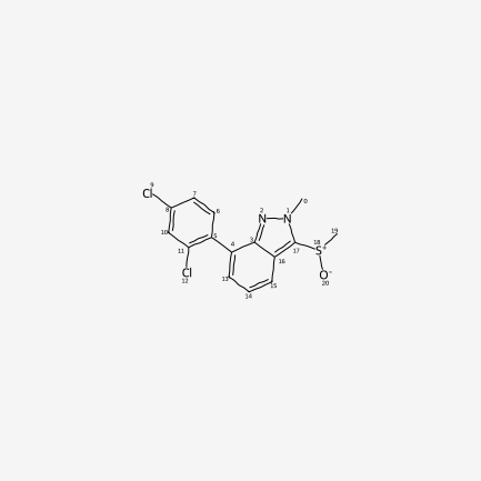 Cn1nc2c(-c3ccc(Cl)cc3Cl)cccc2c1[S+](C)[O-]